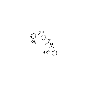 COC[C@H](Cc1ccccc1)NC(=O)Nc1cc2[nH]nc(-c3ccnc(C)c3)c2cn1